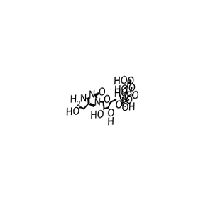 Nc1nc(=O)n(C2OC(COP(=O)(O)OP(=O)(O)OP(=O)(O)O)C(O)C2O)cc1CCO